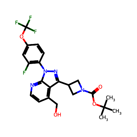 CC(C)(C)OC(=O)N1CC(c2nn(-c3ccc(OC(F)(F)F)cc3F)c3nccc(CO)c23)C1